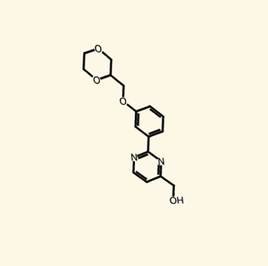 OCc1ccnc(-c2cccc(OCC3COCCO3)c2)n1